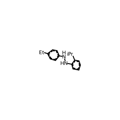 CCc1ccc(NNc2ccccc2C(C)C)cc1